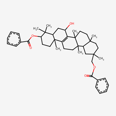 CC1(COC(=O)c2ccccc2)CCC2(C)CCC3(C)C4=C(CCC3(C)C2C1)C1(C)CCC(OC(=O)c2ccccc2)C(C)(C)C1CC4O